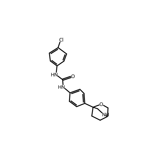 O=C(Nc1ccc(Cl)cc1)Nc1ccc(C23CCC(CO2)NC3)cc1